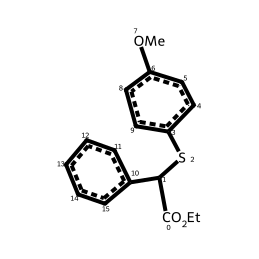 CCOC(=O)C(Sc1ccc(OC)cc1)c1ccccc1